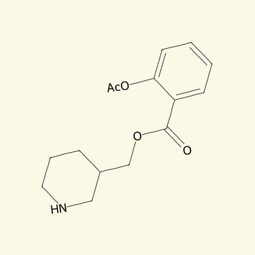 CC(=O)Oc1ccccc1C(=O)OCC1CCCNC1